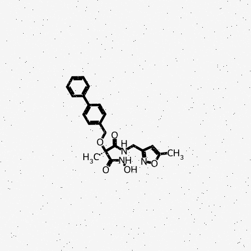 Cc1cc(CNC(=O)[C@](C)(OCc2ccc(-c3ccccc3)cc2)C(=O)NO)no1